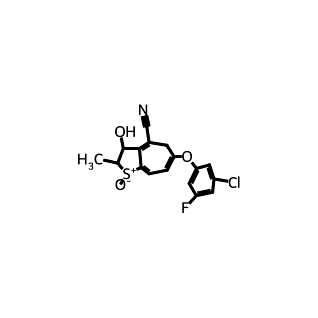 CC1C(O)C2=C(C#N)CC(Oc3cc(F)cc(Cl)c3)=CC=C2[S+]1[O-]